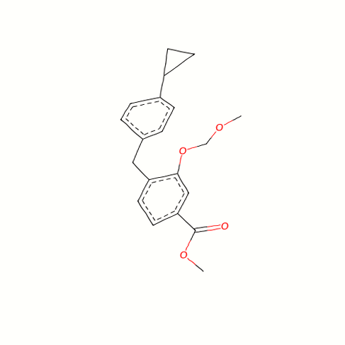 COCOc1cc(C(=O)OC)ccc1Cc1ccc(C2CC2)cc1